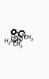 C[C@H](N)C(=O)N[C@@H]1C(=O)N(C)CC=C[C@@H]1c1ccccc1